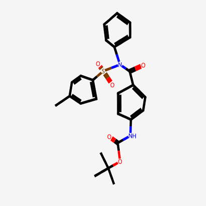 Cc1ccc(S(=O)(=O)N(C(=O)c2ccc(NC(=O)OC(C)(C)C)cc2)c2ccccc2)cc1